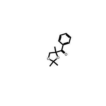 CC1(C)OCC(C)(C(=O)c2ccccc2)O1